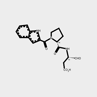 O=C[C@H](CC(=O)O)NC(=O)[C@H]1CCCN1C(=O)c1cc2ccccc2[nH]1